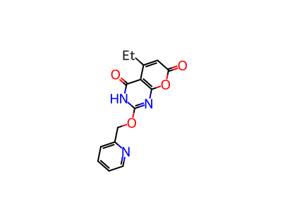 CCc1cc(=O)oc2nc(OCc3ccccn3)[nH]c(=O)c12